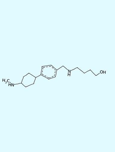 CNC1CCC(c2ccc(CNCCCCO)cc2)CC1